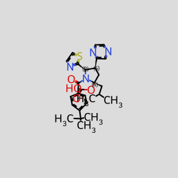 CC(C)C[C@]1(OC(=O)O)C[C@H](c2cnccn2)[C@H](c2nccs2)N1C(=O)c1ccc(C(C)(C)C)cc1